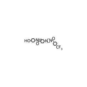 O=C(Nc1ccc(O)cc1)c1ccc(N2CCN(C(=O)c3ccc(C(F)(F)F)cc3)CC2)cc1